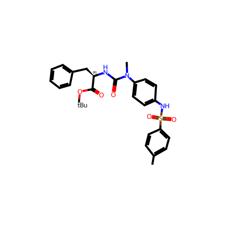 Cc1ccc(S(=O)(=O)Nc2ccc(N(C)C(=O)N[C@H](Cc3ccccc3)C(=O)OC(C)(C)C)cc2)cc1